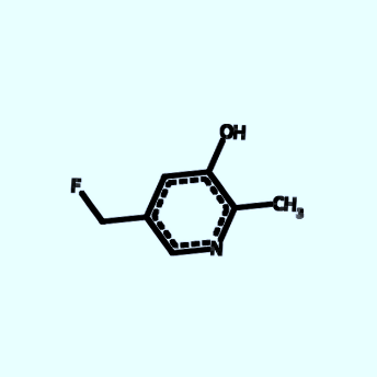 Cc1ncc(CF)cc1O